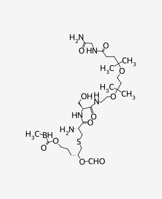 CBC(=O)OCCC[C@H](CSC[C@H](N)C(=O)N[C@@H](CO)C(=O)NCCOC(C)(C)CCOC(C)(C)CCC(=O)NCC(N)=O)OC=O